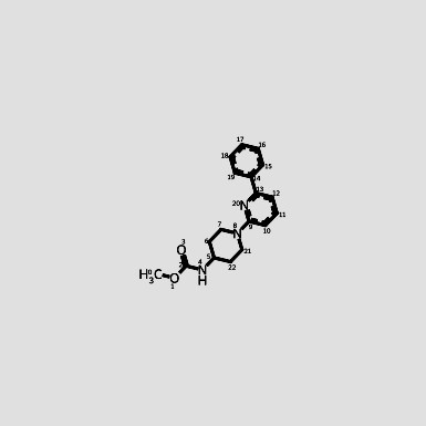 COC(=O)NC1CCN(c2cccc(-c3ccccc3)n2)CC1